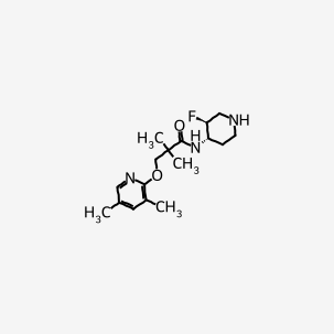 Cc1cnc(OCC(C)(C)C(=O)N[C@H]2CCNC[C@@H]2F)c(C)c1